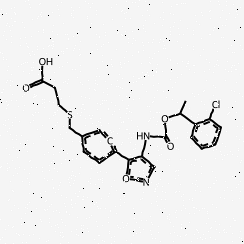 CC(OC(=O)Nc1cnoc1-c1ccc(CSCCC(=O)O)cc1)c1ccccc1Cl